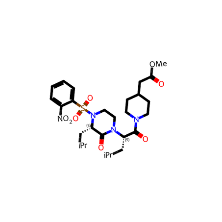 COC(=O)CC1CCN(C(=O)[C@H](CC(C)C)N2CCN(S(=O)(=O)c3ccccc3[N+](=O)[O-])[C@@H](CC(C)C)C2=O)CC1